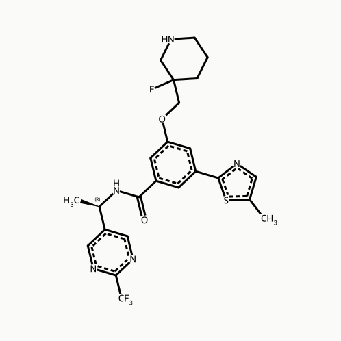 Cc1cnc(-c2cc(OCC3(F)CCCNC3)cc(C(=O)N[C@H](C)c3cnc(C(F)(F)F)nc3)c2)s1